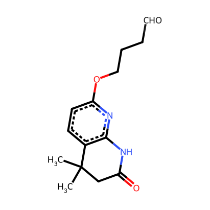 CC1(C)CC(=O)Nc2nc(OCCCC=O)ccc21